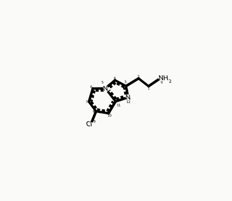 NCCc1cn2ccc(Cl)cc2n1